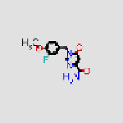 COc1ccc(Cn2cnc(C(N)=O)cc2=O)cc1F